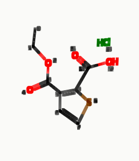 CCOC(=O)c1ccsc1C(=O)O.Cl